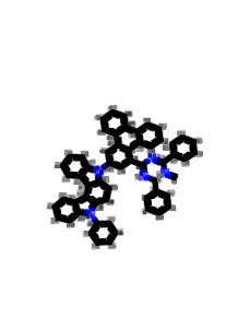 C=N/C(=N\C(=N/Cc1ccccc1)c1cc(-n2c3ccccc3c3c4c5ccccc5n(-c5ccccc5)c4ccc32)cc2c3ccccc3c3ccccc3c12)c1ccccc1